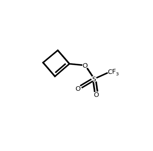 O=S(=O)(OC1=CCC1)C(F)(F)F